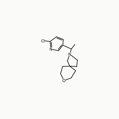 CC(c1ccc(Cl)nc1)N1CCC2(CCOCC2)C1